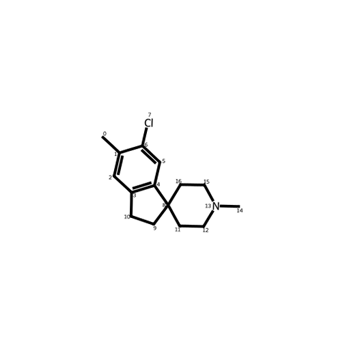 Cc1cc2c(cc1Cl)C1(CC2)CCN(C)CC1